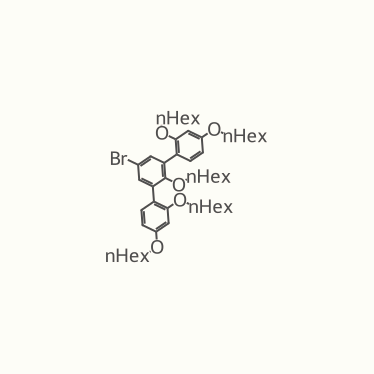 CCCCCCOc1ccc(-c2cc(Br)cc(-c3ccc(OCCCCCC)cc3OCCCCCC)c2OCCCCCC)c(OCCCCCC)c1